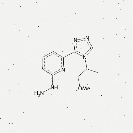 COCC(C)n1cnnc1-c1cccc(NN)n1